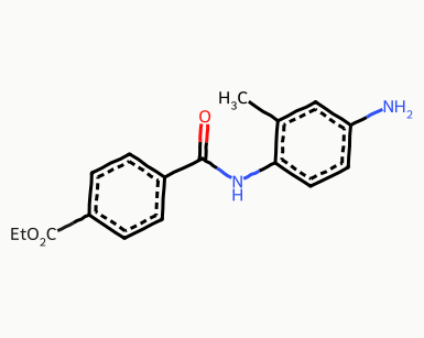 CCOC(=O)c1ccc(C(=O)Nc2ccc(N)cc2C)cc1